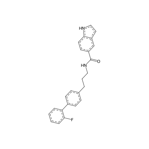 O=C(NCCCc1ccc(-c2ccccc2F)cc1)c1ccc2[nH]ccc2c1